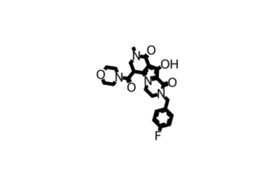 CN1CC(C(=O)N2CCOCC2)c2c(c(O)c3n2CCN(Cc2ccc(F)cc2)C3=O)C1=O